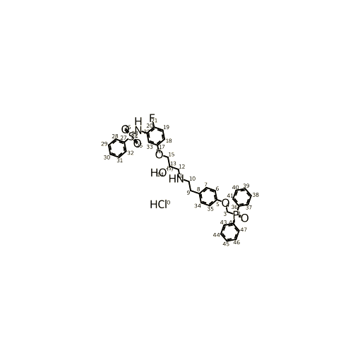 Cl.O=P(COc1ccc(CCNC[C@H](O)COc2ccc(F)c(NS(=O)(=O)c3ccccc3)c2)cc1)(c1ccccc1)c1ccccc1